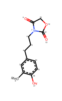 COc1cc(CCCN2C(=O)COC2=O)ccc1O